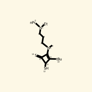 CCCN(CC)CCCN(C)C1=C(C(C)(C)C)C(S)C1=S